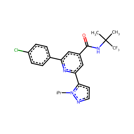 CC(C)n1nccc1-c1cc(C(=O)NC(C)(C)C(F)(F)F)cc(-c2ccc(Cl)cc2)n1